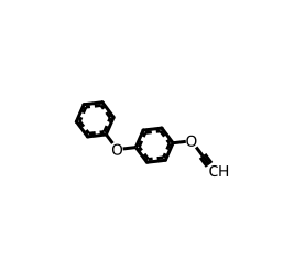 C#COc1ccc(Oc2ccccc2)cc1